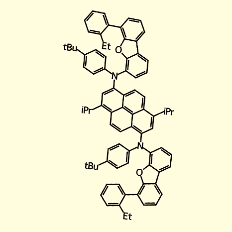 CCc1ccccc1-c1cccc2c1oc1c(N(c3ccc(C(C)(C)C)cc3)c3cc(C(C)C)c4ccc5c(N(c6ccc(C(C)(C)C)cc6)c6cccc7c6oc6c(-c8ccccc8CC)cccc67)cc(C(C)C)c6ccc3c4c65)cccc12